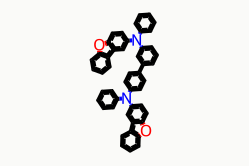 c1ccc(N(c2ccc(-c3cccc(N(c4ccccc4)c4ccc5oc6ccccc6c5c4)c3)cc2)c2ccc3oc4ccccc4c3c2)cc1